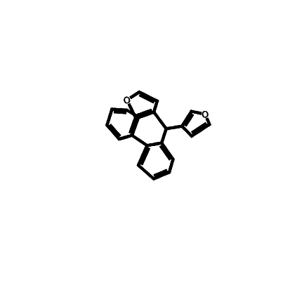 c1ccc(-c2ccccc2[C](c2ccoc2)c2ccoc2)cc1